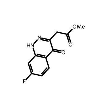 COC(=O)Cc1n[nH]c2cc(F)ccc2c1=O